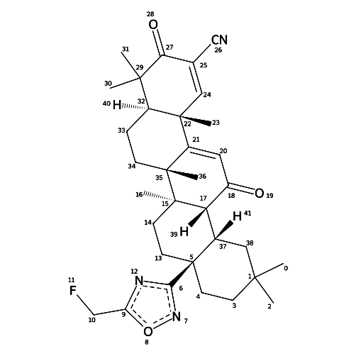 CC1(C)CC[C@]2(c3noc(CF)n3)CC[C@]3(C)[C@H](C(=O)C=C4[C@@]5(C)C=C(C#N)C(=O)C(C)(C)[C@@H]5CC[C@]43C)[C@@H]2C1